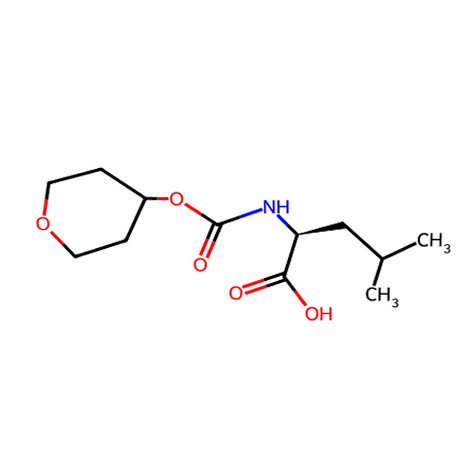 CC(C)C[C@H](NC(=O)OC1CCOCC1)C(=O)O